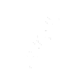 Fc1cc(-c2nnc(C(F)F)o2)cnc1Cn1cc(-c2cccc(CN3CCCC3)c2Cl)nn1